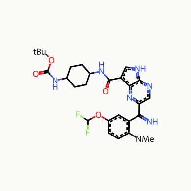 CNc1ccc(OC(F)F)cc1C(=N)c1cnc2[nH]cc(C(=O)NC3CCC(NC(=O)OC(C)(C)C)CC3)c2n1